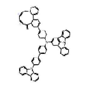 C=C1/C=C\C=C/CC2CC=CC=C2C2=CC=C(C3=CC=C(N(c4ccc(-c5ccc(-n6c7ccccc7c7ccccc76)cc5)cc4)c4cc5c6ccccc6n6c7ccccc7c(c4)c56)CC3)CC12